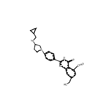 O=Cc1cc(CO)cc2nc(-c3ccc(N4CCC(NCC5CC5)C4)cc3)[nH]c(=O)c12